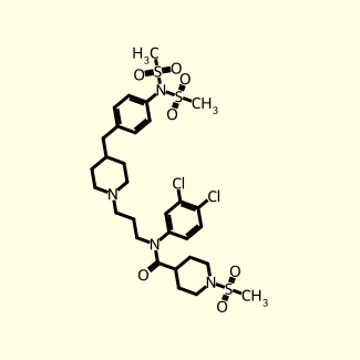 CS(=O)(=O)N1CCC(C(=O)N(CCCN2CCC(Cc3ccc(N(S(C)(=O)=O)S(C)(=O)=O)cc3)CC2)c2ccc(Cl)c(Cl)c2)CC1